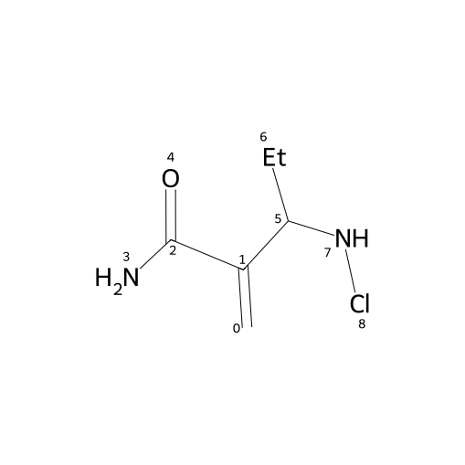 C=C(C(N)=O)C(CC)NCl